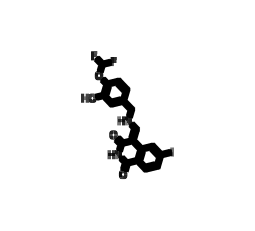 O=C1NC(=O)c2ccc(I)cc2/C1=C/NCc1ccc(OC(F)F)c(O)c1